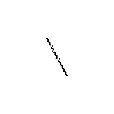 CCCCCCCCCCOC(=O)CCCOCCOCCCCC